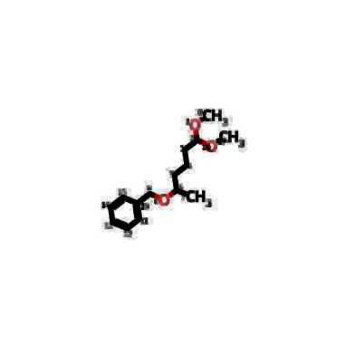 COC(CCCC(C)OCc1ccccc1)OC